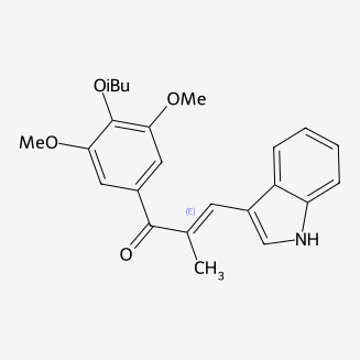 COc1cc(C(=O)/C(C)=C/c2c[nH]c3ccccc23)cc(OC)c1OCC(C)C